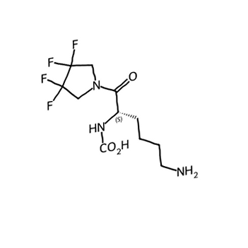 NCCCC[C@H](NC(=O)O)C(=O)N1CC(F)(F)C(F)(F)C1